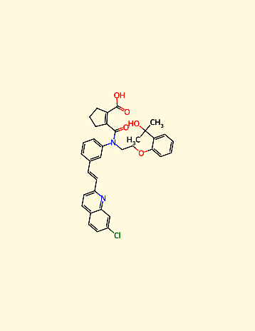 CC(C)(O)c1ccccc1OCCN(C(=O)C1=C(C(=O)O)CCC1)c1cccc(/C=C/c2ccc3ccc(Cl)cc3n2)c1